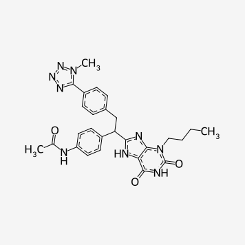 CCCCn1c(=O)[nH]c(=O)c2[nH]c(C(Cc3ccc(-c4nnnn4C)cc3)c3ccc(NC(C)=O)cc3)nc21